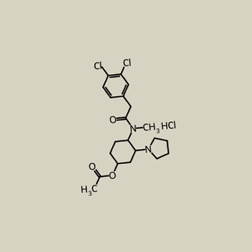 CC(=O)OC1CCC(N(C)C(=O)Cc2ccc(Cl)c(Cl)c2)C(N2CCCC2)C1.Cl